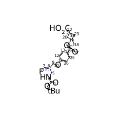 CC(C)(C)OC(=O)NC/C(=C\F)COc1ccc(S(=O)(=O)CC23CC(C(=O)O)(C2)C3)cc1